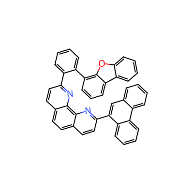 c1ccc(-c2cccc3c2oc2ccccc23)c(-c2ccc3ccc4ccc(-c5cc6ccccc6c6ccccc56)nc4c3n2)c1